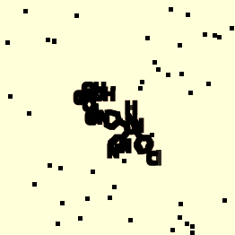 O=C(COP(=O)(O)O)N1CCC(c2[nH]nc(-c3ccc(Cl)cc3)c2-c2ccncn2)CC1